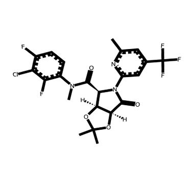 Cc1cc(C(F)(F)F)cc(N2C(=O)[C@H]3OC(C)(C)O[C@H]3[C@H]2C(=O)N(C)c2ccc(F)c(Cl)c2F)n1